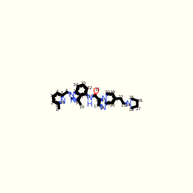 Cc1cccc(Cn2nc(C)c3c(NC(=O)c4cnc5cc(CCN6CCCC6)ccn45)cccc32)n1